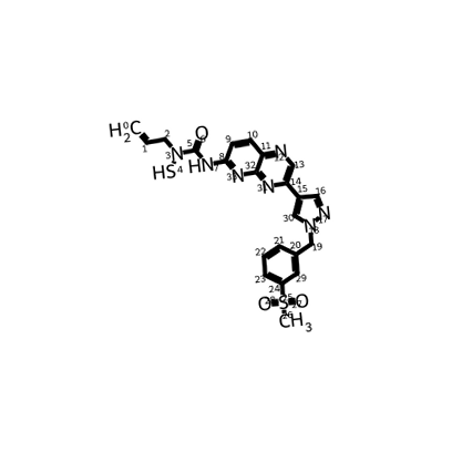 C=CCN(S)C(=O)Nc1ccc2ncc(-c3cnn(Cc4cccc(S(C)(=O)=O)c4)c3)nc2n1